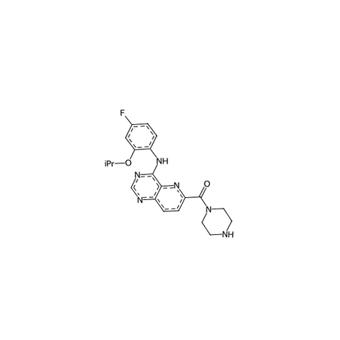 CC(C)Oc1cc(F)ccc1Nc1ncnc2ccc(C(=O)N3CCNCC3)nc12